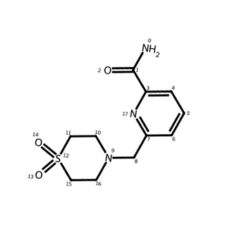 NC(=O)c1cccc(CN2CCS(=O)(=O)CC2)n1